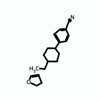 C1=COCC1.CCC1CCC(c2ccc(C#N)cc2)CC1